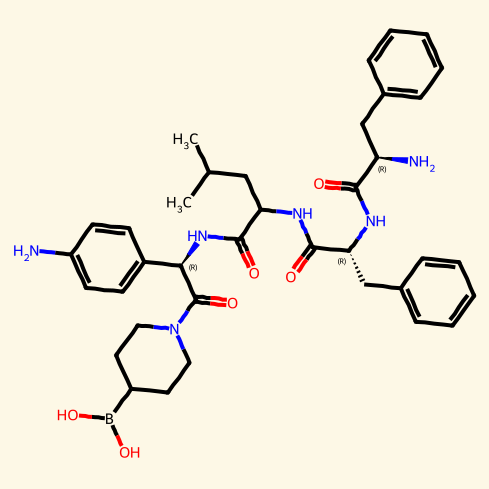 CC(C)CC(NC(=O)[C@@H](Cc1ccccc1)NC(=O)[C@H](N)Cc1ccccc1)C(=O)N[C@@H](C(=O)N1CCC(B(O)O)CC1)c1ccc(N)cc1